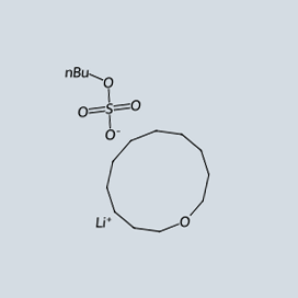 C1CCCCCOCCCCC1.CCCCOS(=O)(=O)[O-].[Li+]